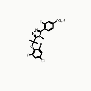 Cn1c(-c2ccc(C(=O)O)cc2F)nnc1C(C)(C)Oc1c(F)cc(Cl)cc1F